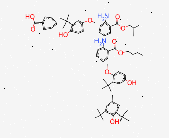 CC(C)COC(=O)c1ccccc1N.CCCCOC(=O)c1ccccc1N.COc1ccc(O)c(C(C)(C)C)c1.COc1ccc(O)cc1C(C)(C)C.Cc1cc(C(C)(C)C)c(O)c(C(C)(C)C)c1.O=C(O)c1ccccc1